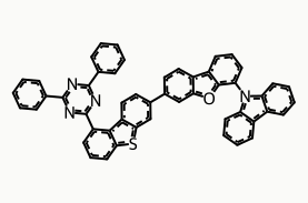 c1ccc(-c2nc(-c3ccccc3)nc(-c3cccc4sc5cc(-c6ccc7c(c6)oc6c(-n8c9ccccc9c9ccccc98)cccc67)ccc5c34)n2)cc1